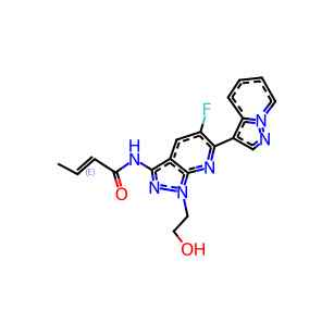 C/C=C/C(=O)Nc1nn(CCO)c2nc(-c3cnn4ccccc34)c(F)cc12